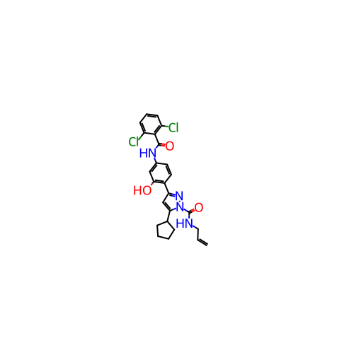 C=CCNC(=O)n1nc(-c2ccc(NC(=O)c3c(Cl)cccc3Cl)cc2O)cc1C1CCCC1